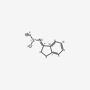 CC(C)(C)[S+]([O-])/N=C1\CCc2ccccc21